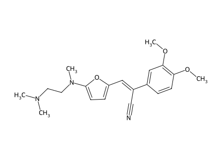 COc1ccc(C(C#N)=Cc2ccc(N(C)CCN(C)C)o2)cc1OC